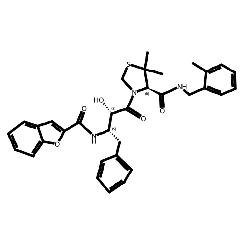 Cc1ccccc1CNC(=O)[C@H]1N(C(=O)[C@@H](O)[C@H](Cc2ccccc2)NC(=O)c2cc3ccccc3o2)CSC1(C)C